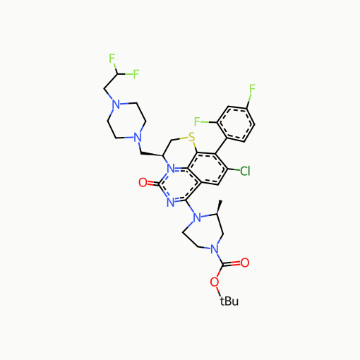 C[C@H]1CN(C(=O)OC(C)(C)C)CCN1c1nc(=O)n2c3c(c(-c4ccc(F)cc4F)c(Cl)cc13)SC[C@@H]2CN1CCN(CC(F)F)CC1